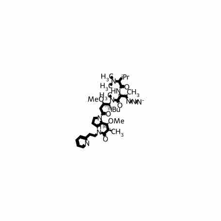 CC[C@H](C)[C@@H]([C@@H](CC(=O)N1CCCC1[C@H](OC)[C@@H](C)C(=O)NCCc1ccccn1)OC)N(C)C(=O)[C@@H](NC(=O)C(C(C)C)N(C)C)[C@H](C)N=[N+]=[N-]